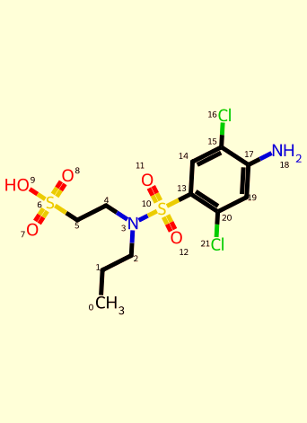 CCCN(CCS(=O)(=O)O)S(=O)(=O)c1cc(Cl)c(N)cc1Cl